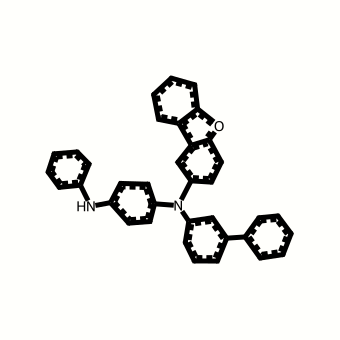 c1ccc(Nc2ccc(N(c3cccc(-c4ccccc4)c3)c3ccc4oc5ccccc5c4c3)cc2)cc1